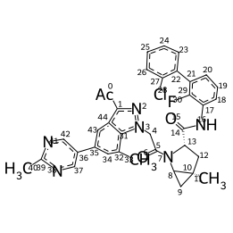 CC(=O)c1nn(CC(=O)N2C3C[C@]3(C)C[C@H]2C(=O)Nc2cccc(-c3ccccc3Cl)c2F)c2c(C)cc(-c3cnc(C)nc3)cc12